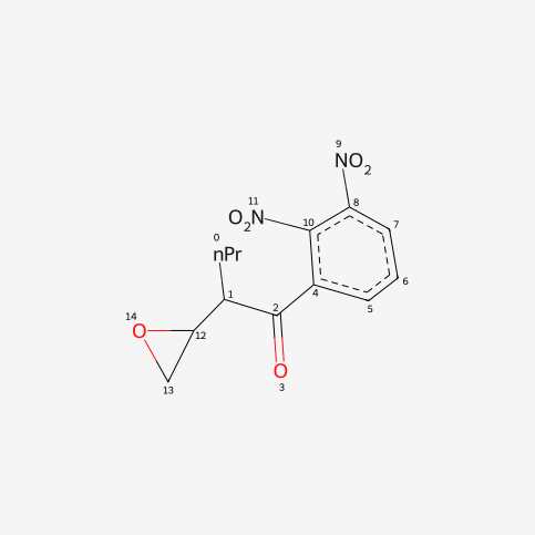 CCCC(C(=O)c1cccc([N+](=O)[O-])c1[N+](=O)[O-])C1CO1